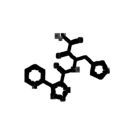 NC(=O)C(=O)C(Cc1ccsc1)NC(=O)c1nonc1-c1ccccn1